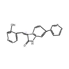 O=C1Nc2cc(-c3cccnc3)ccc2/C1=C/c1ccccc1O